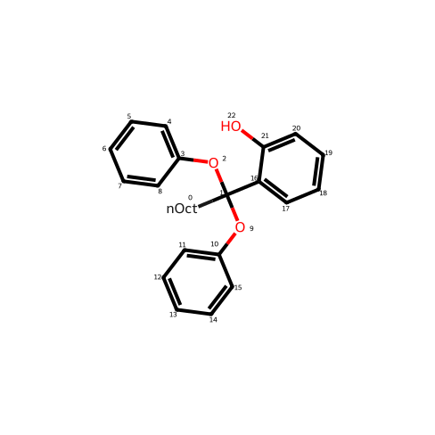 CCCCCCCCC(Oc1ccccc1)(Oc1ccccc1)c1ccccc1O